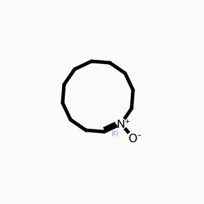 [O-]/[N+]1=C/CCCCCCCCCC1